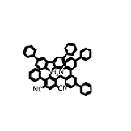 N#Cc1cc(C#N)c(-c2ccccc2)c(-n2c3ccc(-c4ccccc4)cc3c3cc(-c4ccccc4)ccc32)c1Cc1ccc(-c2ccccc2)cc1-c1cc(-c2ccccc2)ccc1N